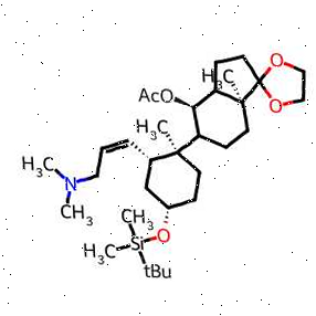 CC(=O)O[C@H]1C2CCC3(OCCO3)[C@@]2(C)CCC1[C@@]1(C)CC[C@H](O[Si](C)(C)C(C)(C)C)C[C@@H]1/C=C\CN(C)C